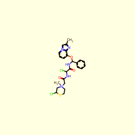 Cc1cn2cccc(OC(NC(=O)C(Cl)NC(=O)C[N+]3(C)CCSC(Cl)C3)c3ccccc3)c2n1